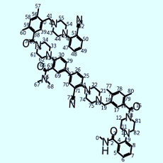 CNC(=O)c1ccccc1N1CCN(C(=O)c2cc(CN3CCN(c4ccc(-c5ccc(N6CCN(C(=O)c7cc(CN8CCN(c9ccccc9C#N)CC8)c(C)cc7C)CC6)c(C(=O)N(C)C)c5)cc4C#N)CC3)c(C)cc2C)CC1